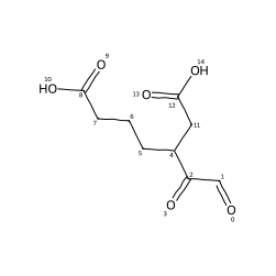 O=CC(=O)C(CCCC(=O)O)CC(=O)O